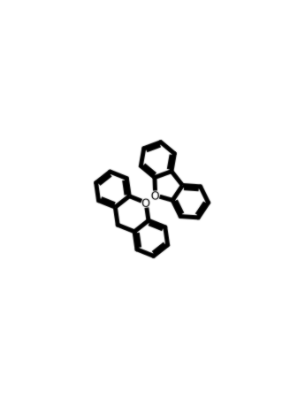 c1ccc2c(c1)Cc1ccccc1O2.c1ccc2c(c1)oc1ccccc12